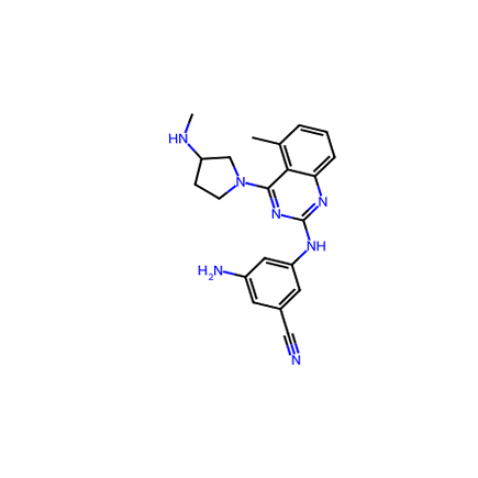 CNC1CCN(c2nc(Nc3cc(N)cc(C#N)c3)nc3cccc(C)c23)C1